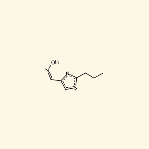 CCCc1nc(/C=N\O)cs1